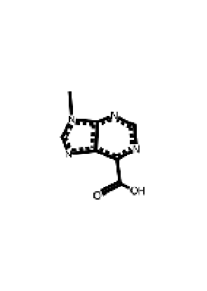 Cn1cnc2c(C(=O)O)ncnc21